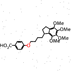 COc1c2c(c(OC)c(OC)c1OC)C(CCCCOc1ccc(C(=O)O)cc1)CC2